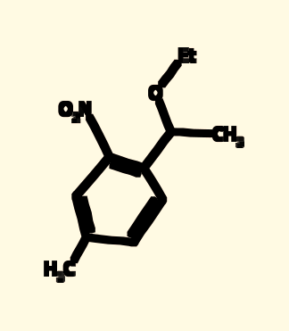 CCOC(C)c1ccc(C)cc1[N+](=O)[O-]